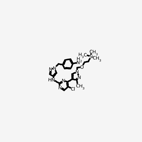 Cc1nn(COCC[Si](C)(C)C)cc1-c1nc(Nc2cnn(Cc3ccc(N)cc3)c2)ncc1Cl